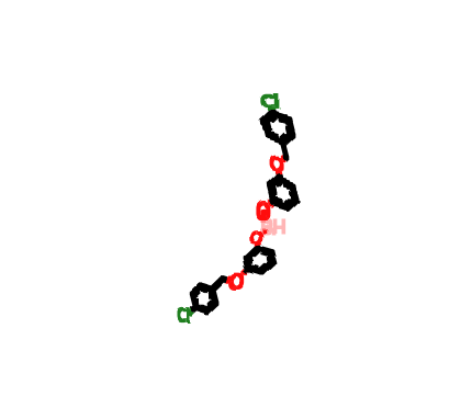 Clc1ccc(COc2cccc(OBOc3cccc(OCc4ccc(Cl)cc4)c3)c2)cc1